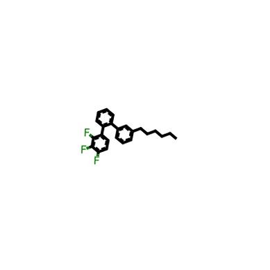 CCCCCCc1cccc(-c2ccccc2-c2ccc(F)c(F)c2F)c1